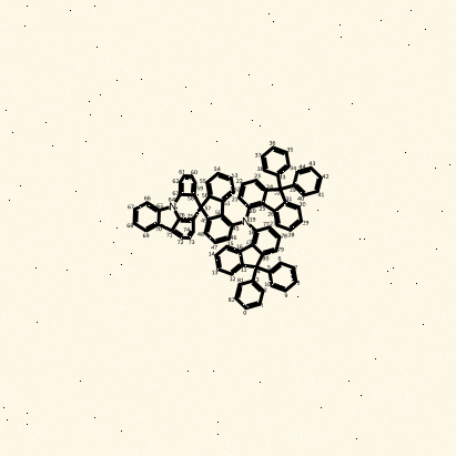 c1ccc(C2(c3ccccc3)c3ccccc3-c3c(N(c4cccc5c4-c4ccccc4C5(c4ccccc4)c4ccccc4)c4cccc5c4-c4ccccc4C54c5ccccc5-n5c6ccccc6c6cccc4c65)cccc32)cc1